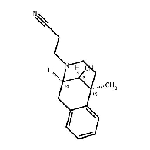 C[C@@H]1[C@H]2Cc3ccccc3[C@]1(C)CCN2CCC#N